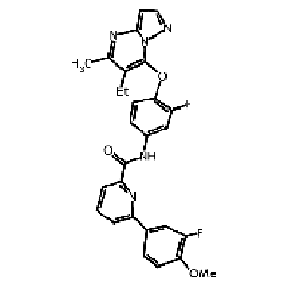 CCc1c(C)nc2ccnn2c1Oc1ccc(NC(=O)c2cccc(-c3ccc(OC)c(F)c3)n2)cc1F